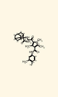 Cc1cc(NC(=O)c2c(C)c(C(=O)CNC3(C(N)=O)C4CC5CC(C4)CC3C5)n(C)c2C)ccc1F